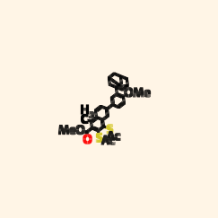 COC(=O)c1c(SC(C)=O)c(SC(C)=O)c2cc(-c3ccc(OC)c(C45CC6CC(CC(C6)C4)C5)c3)ccc2c1C